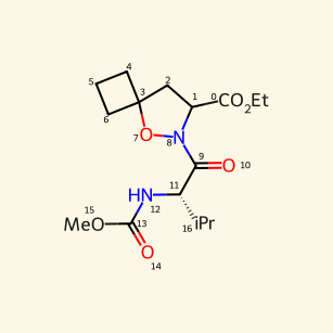 CCOC(=O)C1CC2(CCC2)ON1C(=O)[C@@H](NC(=O)OC)C(C)C